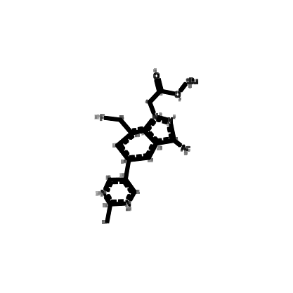 CC(=O)c1nn(CC(=O)OC(C)(C)C)c2c(CF)cc(-c3cnc(C)nc3)cc12